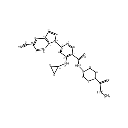 CNC(=O)C1CCC(NC(=O)c2cnc(-n3ccc4cc(C#N)cnc43)cc2NC2CC2)CC1